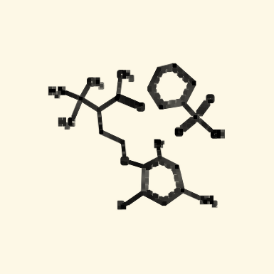 CC(=O)C(CCOc1c(Br)cc(N)cc1Br)C(C)(C)N.O=S(=O)(O)c1ccccc1